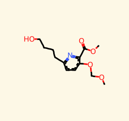 COCOc1ccc(CCCCO)nc1C(=O)OC